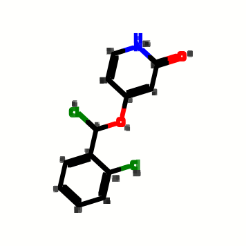 O=c1cc(OC(Cl)c2ccccc2Cl)cc[nH]1